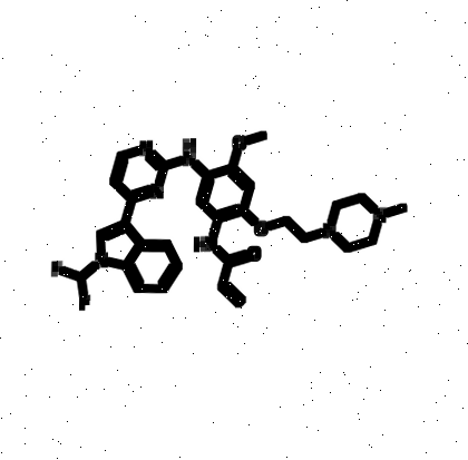 C=CC(=O)Nc1cc(Nc2nccc(-c3cn(C(F)F)c4ccccc34)n2)c(OC)cc1OCCN1CCN(C)CC1